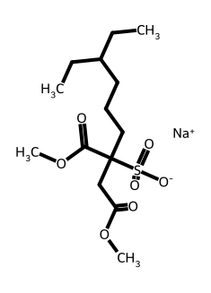 CCC(CC)CCCC(CC(=O)OC)(C(=O)OC)S(=O)(=O)[O-].[Na+]